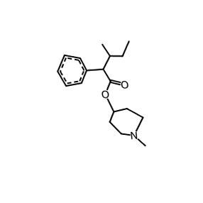 CCC(C)C(C(=O)OC1CCN(C)CC1)c1ccccc1